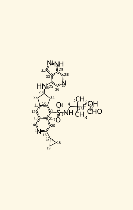 CC(C)(F)CNS(=O)(=O)c1c2c(cc3cnc(C4CC4)cc13)CC(Nc1cncc3[nH]ncc13)C2.O=CO